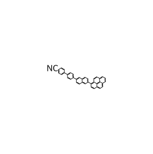 N#Cc1ccc(-c2ccc(-c3ccc4cc(-c5ccc6ccc7cccc8ccc5c6c78)ccc4c3)cc2)cc1